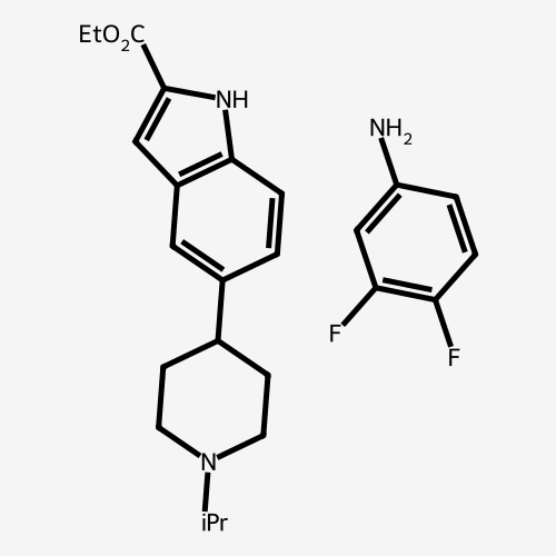 CCOC(=O)c1cc2cc(C3CCN(C(C)C)CC3)ccc2[nH]1.Nc1ccc(F)c(F)c1